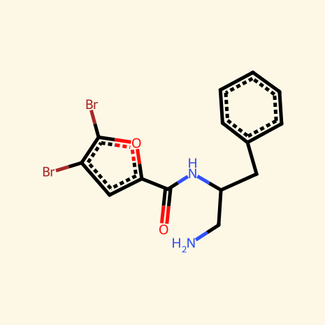 NCC(Cc1ccccc1)NC(=O)c1cc(Br)c(Br)o1